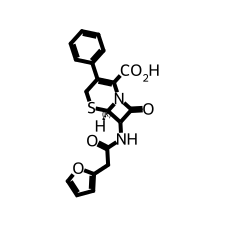 O=C(Cc1ccco1)NC1C(=O)N2C(C(=O)O)=C(c3ccccc3)CS[C@H]12